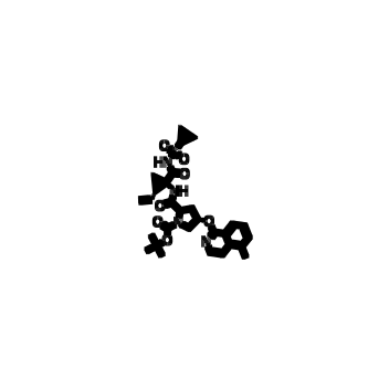 C=C[C@@H]1C[C@]1(NC(=O)C1C[C@@H](Oc2nccc3c(C)cccc23)CN1C(=O)OC(C)(C)C)C(=O)NS(=O)(=O)C1CC1